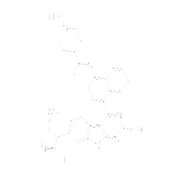 COc1cc2c(cc1-c1c(C)noc1C)[nH]c1nc(C)nc(-c3ccc(NC(=O)C4CCN(C)CC4)c4ccccc34)c12